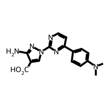 CN(C)c1ccc(-c2ccnc(-n3cc(C(=O)O)c(N)n3)n2)cc1